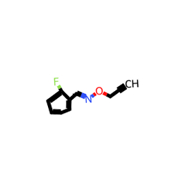 C#CCON=[C]c1ccccc1F